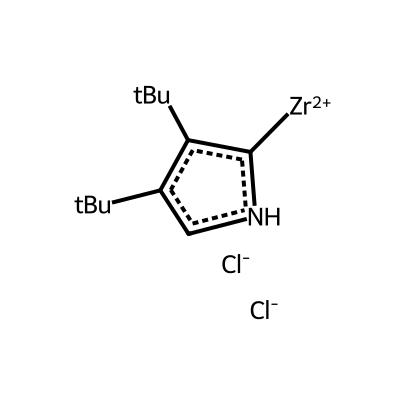 CC(C)(C)c1c[nH][c]([Zr+2])c1C(C)(C)C.[Cl-].[Cl-]